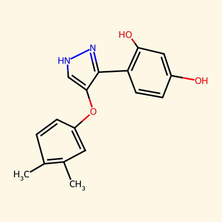 Cc1ccc(Oc2c[nH]nc2-c2ccc(O)cc2O)cc1C